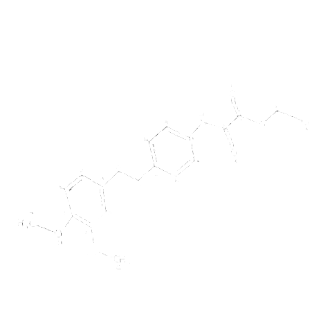 CCOC(=O)C(=O)Nc1ccc(CCc2ccc(OC)c(OC)c2)cc1